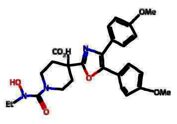 CCN(O)C(=O)N1CCC(C(=O)O)(c2nc(-c3ccc(OC)cc3)c(-c3ccc(OC)cc3)o2)CC1